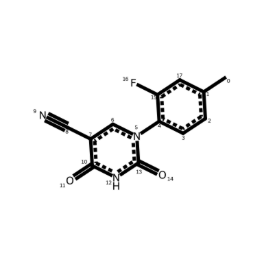 Cc1ccc(-n2cc(C#N)c(=O)[nH]c2=O)c(F)c1